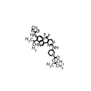 COC(=O)Nc1ccc2c(-c3nc(N[C@H]4CCCN(C(=O)OC(C)(C)C)C4)ncc3C(F)(F)F)c[nH]c2c1C(C)C